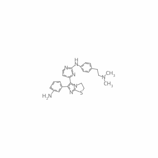 CN(C)CCc1ccc(Nc2nccc(-c3c(-c4cccc(N)c4)nc4n3CCS4)n2)cc1